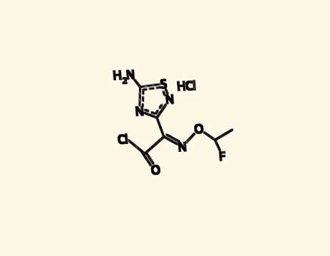 CC(F)O/N=C(/C(=O)Cl)c1nsc(N)n1.Cl